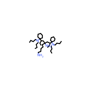 CCCCN(CCCC)C1(C(CC)CC(N)(CCCCCN)CC(CC)C2(N(CCCC)CCCC)CCCCC2)CCCCC1